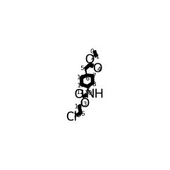 CCOC(=O)C[C@H]1CC[C@H](NC(=O)OCCCl)CC1